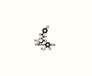 Cc1c([AsH][C@@H](C(=O)NNC(=O)c2ccc(Cl)cc2)[C@H](C)O)ccc(C#N)c1Cl